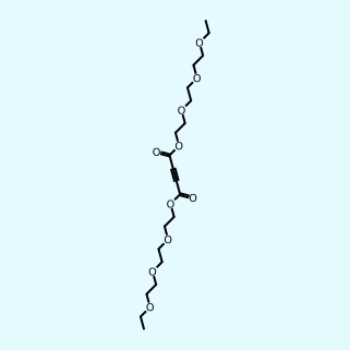 CCOCCOCCOCCOC(=O)C#CC(=O)OCCOCCOCCOCC